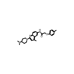 Cc1ccc(OCC(=O)Nc2ccc3nc(N4CCC(N(C)C)CC4)cc(C)c3c2)cc1